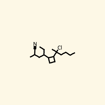 CCCCC(C)(Cl)C1CCC1C(CC)CC(C)C#N